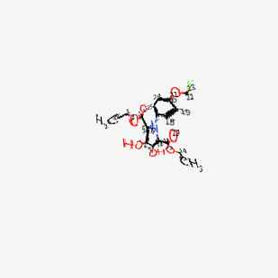 CCOC(=O)c1c(O)c(O)c(C(=O)OCC)n1-c1ccc(OCF)cc1